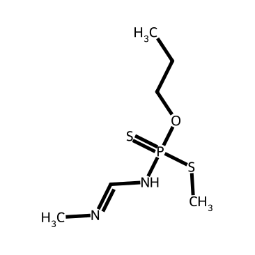 CCCOP(=S)(NC=NC)SC